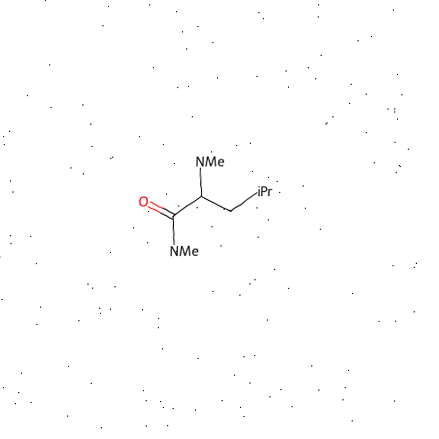 CNC(=O)C(CC(C)C)NC